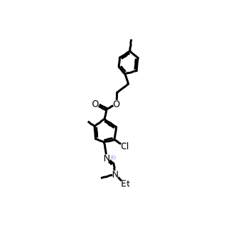 CCN(C)/C=N/c1cc(C)c(C(=O)OCCc2ccc(C)cc2)cc1Cl